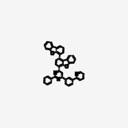 c1ccc(-c2nc(-c3cccc(-c4ccccn4)c3)cc(-c3ccc(-c4cccc5c4oc4ccccc45)c4c3oc3ccccc34)n2)cc1